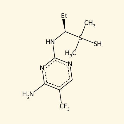 CC[C@H](Nc1ncc(C(F)(F)F)c(N)n1)S(C)(C)S